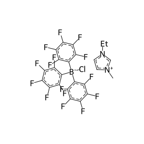 CCn1cc[n+](C)c1.Fc1c(F)c(F)c([B-](Cl)(c2c(F)c(F)c(F)c(F)c2F)c2c(F)c(F)c(F)c(F)c2F)c(F)c1F